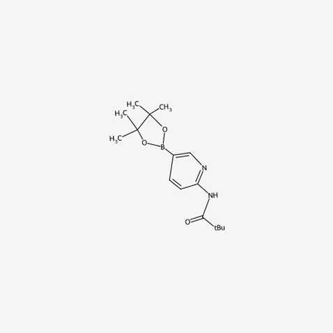 CC(C)(C)C(=O)Nc1ccc(B2OC(C)(C)C(C)(C)O2)cn1